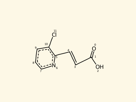 O=C(O)C=Cc1ncccc1Cl